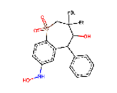 CCCCC1(CC)CS(=O)(=O)c2ccc(NO)cc2C(c2ccccc2)C1O